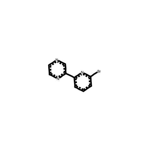 Brc1cccc(-c2cnccn2)n1